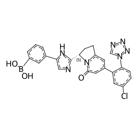 O=c1cc(-c2cc(Cl)ccc2-n2cnnn2)cc2n1[C@H](c1ncc(-c3cccc(B(O)O)c3)[nH]1)CC2